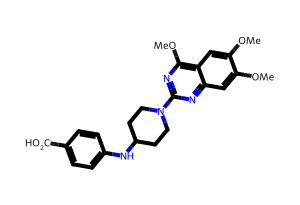 COc1cc2nc(N3CCC(Nc4ccc(C(=O)O)cc4)CC3)nc(OC)c2cc1OC